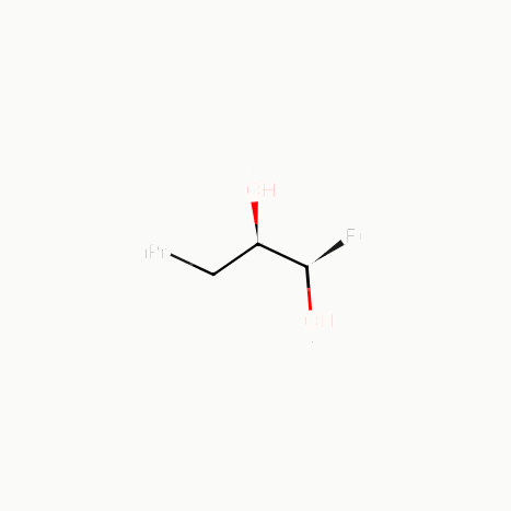 CC[C@@H](O)[C@H](O)CC(C)C